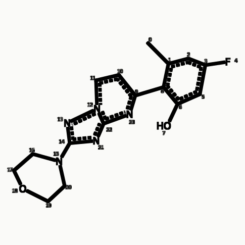 Cc1cc(F)cc(O)c1-c1ccn2nc(N3CCOCC3)nc2n1